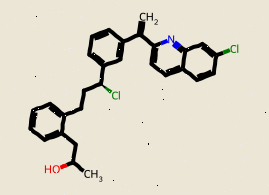 C=C(c1cccc([C@@H](Cl)CCc2ccccc2CC(C)O)c1)c1ccc2ccc(Cl)cc2n1